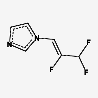 FC(=Cn1ccnc1)C(F)F